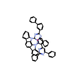 c1ccc(C2=NC(c3cccc(-c4ccccc4)c3)=NC(n3c4ccccc4c4ccc5c6ccccc6n(-c6ccccc6-c6cc(-c7ccccc7)nc(-c7ccccc7)n6)c5c43)N2)cc1